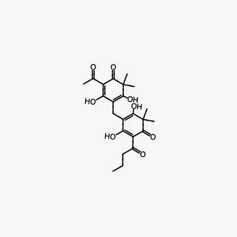 CCCC(=O)C1=C(O)C(CC2=C(O)C(C)(C)C(=O)C(C(C)=O)=C2O)=C(O)C(C)(C)C1=O